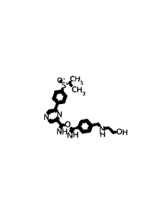 CC(C)[S+]([O-])c1ccc(-c2cncc(C(=N)OC(=N)c3ccc(CNCCO)cc3)n2)cc1